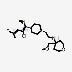 C=N/C(=C(Cl)\C=C(/C)F)[C@H]1CC[C@H](CCNC2(COC)CCOCC2)CC1